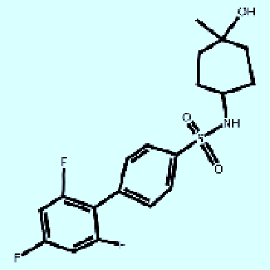 CC1(O)CCC(NS(=O)(=O)c2ccc(-c3c(F)cc(F)cc3F)cc2)CC1